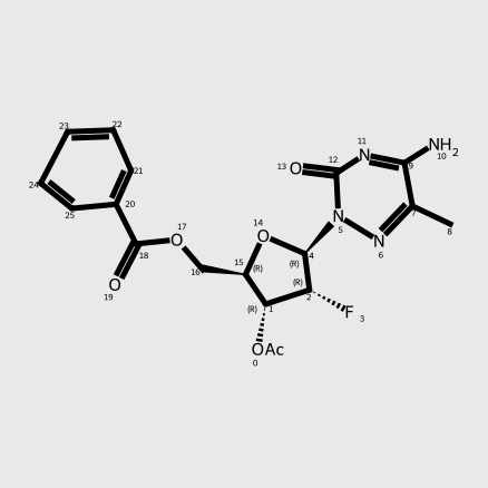 CC(=O)O[C@H]1[C@@H](F)[C@H](n2nc(C)c(N)nc2=O)O[C@@H]1COC(=O)c1ccccc1